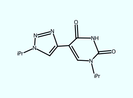 CC(C)n1cc(-c2cn(C(C)C)c(=O)[nH]c2=O)nn1